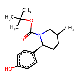 CC1CC[C@@H](c2ccc(O)cc2)N(C(=O)OC(C)(C)C)C1